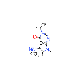 CC(n1cnc2c(c(NC(=O)O)cn2C)c1=O)C(F)(F)F